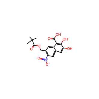 CC(C)(C)C(=O)OCc1cc2c(C(=O)O)c(O)c(O)cc2cc1[N+](=O)[O-]